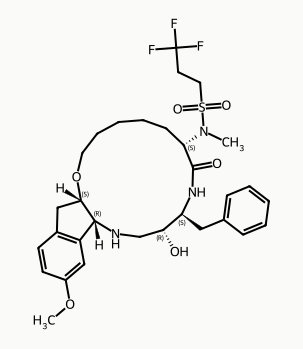 COc1ccc2c(c1)[C@H]1NC[C@@H](O)[C@H](Cc3ccccc3)NC(=O)[C@@H](N(C)S(=O)(=O)CCC(F)(F)F)CCCCCO[C@H]1C2